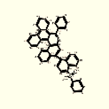 O=S(=O)(c1ccccc1)c1ccc(-c2cc3nc(-c4ccccc4)c4c5ccccc5c5ccccc5c4c3c3ccccc23)c2ccccc12